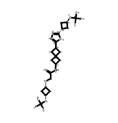 O=C(CO[C@H]1C[C@@H](OC(F)(F)F)C1)NC1CC2(C1)CC(c1nnc([C@H]3C[C@H](OC(F)(F)F)C3)o1)C2